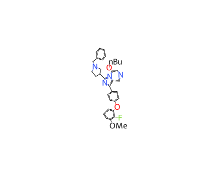 CCCCOc1cncc2c(-c3ccc(Oc4cccc(OC)c4F)cc3)nc(C3CCN(Cc4ccccc4)C3)n12